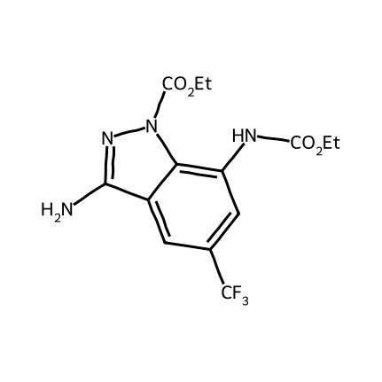 CCOC(=O)Nc1cc(C(F)(F)F)cc2c(N)nn(C(=O)OCC)c12